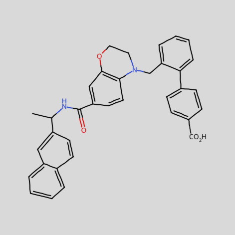 CC(NC(=O)c1ccc2c(c1)OCCN2Cc1ccccc1-c1ccc(C(=O)O)cc1)c1ccc2ccccc2c1